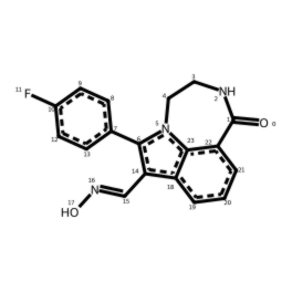 O=C1NCCn2c(-c3ccc(F)cc3)c(/C=N/O)c3cccc1c32